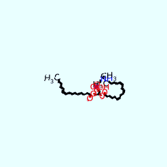 CCCCC/C=C\C/C=C\C/C=C\CCCCC(=O)OC(COC(=O)CCCCCCC/C=C\CCCCCC)COP(=O)(O)OCCNC